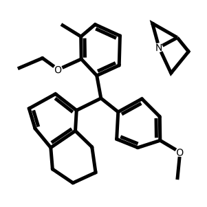 C1CN2CC12.CCOc1c(C)cccc1C(c1ccc(OC)cc1)c1cccc2c1CCCC2